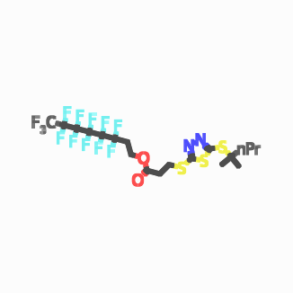 CCCC(C)(C)Sc1nnc(SCCC(=O)OCCC(F)(F)C(F)(F)C(F)(F)C(F)(F)C(F)(F)C(F)(F)F)s1